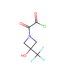 O=C(Cl)C(=O)N1CC(O)(C(F)(F)F)C1